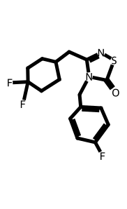 O=c1snc(CC2CCC(F)(F)CC2)n1Cc1ccc(F)cc1